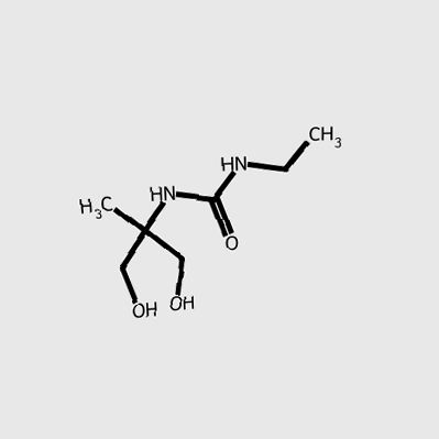 CCNC(=O)NC(C)(CO)CO